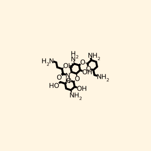 NCC[C@H](O)C(=O)N[C@@H]1C[C@H](N)C(O[C@H]2OC(CN)CCC2N)C(O)[C@H]1O[C@H]1OC(CO)C[C@H](N)C1O